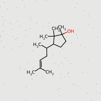 CC(C)=CCC(C)C1CCC(C)(O)C1(C)C